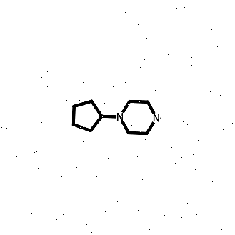 C1CCC(N2CC[N]CC2)C1